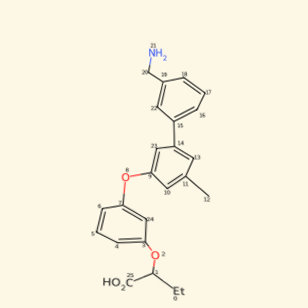 CCC(Oc1cccc(Oc2cc(C)cc(-c3cccc(CN)c3)c2)c1)C(=O)O